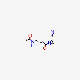 CC(=O)NCCCC(=O)N1CC1C#N